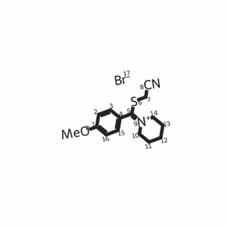 COc1ccc(C(SCC#N)=[N+]2CCCCC2)cc1.[Br-]